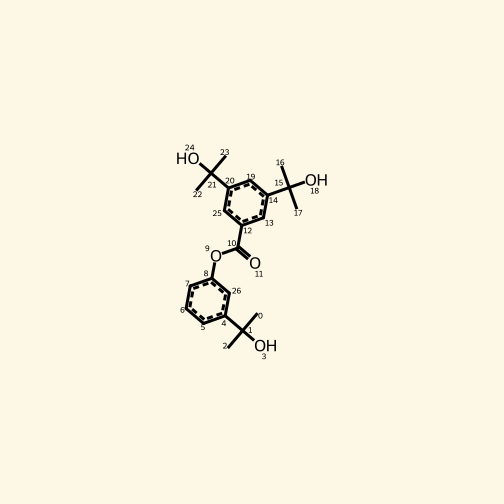 CC(C)(O)c1cccc(OC(=O)c2cc(C(C)(C)O)cc(C(C)(C)O)c2)c1